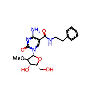 CO[C@@H]1[C@@H](O)[C@@H](CO)O[C@H]1n1cc(C(=O)NCCc2ccccc2)c(N)nc1=O